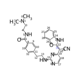 CN(C)CCNC(=O)c1ccc(CCNc2nccc(/C(C#N)=C3/Nc4ccccc4O3)n2)cc1